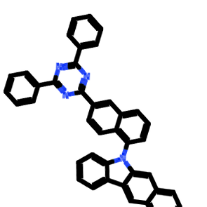 c1ccc(-c2nc(-c3ccccc3)nc(-c3ccc4c(-n5c6ccccc6c6cc7ccccc7cc65)cccc4c3)n2)cc1